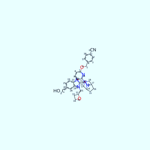 N#Cc1ccc(COc2cccc(N3CC4CCC(C3)N4Cc3nc4ccc(C(=O)O)cc4n3C[C@@H]3CCO3)n2)cc1